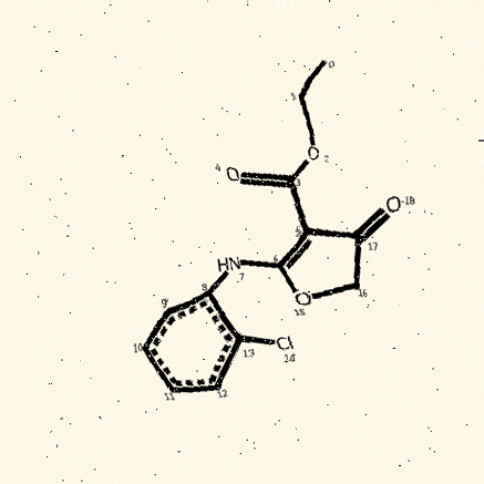 CCOC(=O)C1=C(Nc2ccccc2Cl)OCC1=O